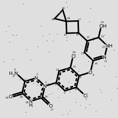 Nc1nn(-c2cc(Cl)c(OC3=NNC(O)C(C4CC5(CC5)C4)=C3)c(Cl)c2)c(=O)[nH]c1=O